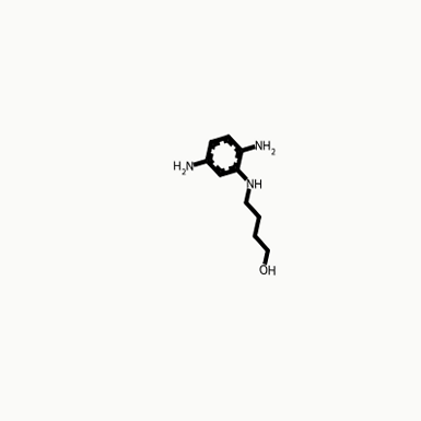 Nc1ccc(N)c(NCCCCO)c1